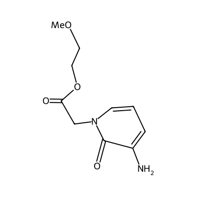 COCCOC(=O)Cn1cccc(N)c1=O